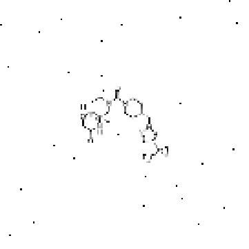 O=C1CO[C@H]2CCN(C(=O)N3CCC(Cn4cc(C5(C(F)(F)F)CC5)cn4)CC3)C[C@H]2N1